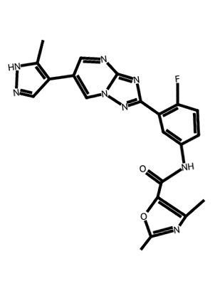 Cc1nc(C)c(C(=O)Nc2ccc(F)c(-c3nc4ncc(-c5cn[nH]c5C)cn4n3)c2)o1